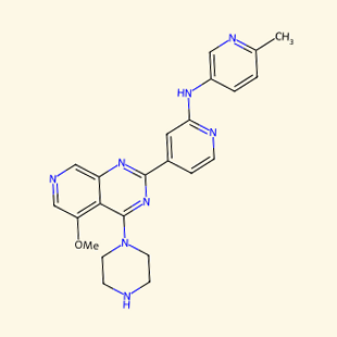 COc1cncc2nc(-c3ccnc(Nc4ccc(C)nc4)c3)nc(N3CCNCC3)c12